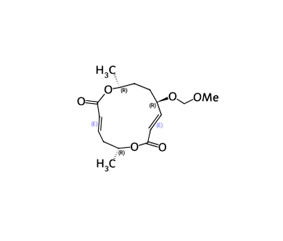 COCO[C@H]1/C=C/C(=O)O[C@H](C)C/C=C/C(=O)O[C@H](C)CC1